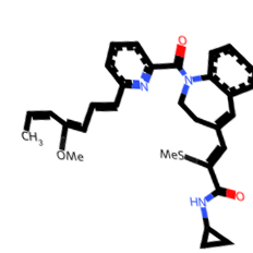 C\C=C/C(=C\C=C\c1cccc(C(=O)N2CCC(/C=C(\SC)C(=O)NC3CC3)=Cc3ccccc32)n1)OC